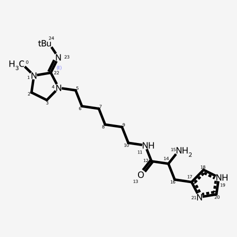 CN1CCN(CCCCCCNC(=O)C(N)Cc2c[nH]cn2)/C1=N/C(C)(C)C